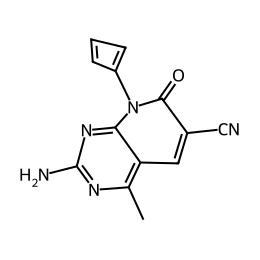 Cc1nc(N)nc2c1cc(C#N)c(=O)n2C1=CC=C1